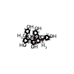 CC(C)(c1ccc(O)cc1)c1ccc(O)cc1Cc1cc(O)ccc1C(C)(C)c1ccc(O)cc1Cc1cc(O)ccc1C(C)(C)c1ccc(O)cc1